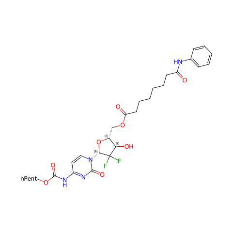 CCCCCOC(=O)Nc1ccn([C@@H]2O[C@H](COC(=O)CCCCCCC(=O)Nc3ccccc3)[C@@H](O)C2(F)F)c(=O)n1